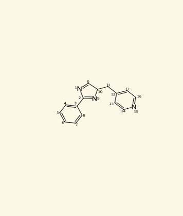 C1=NC(c2ccccc2)=NC1Cc1ccncc1